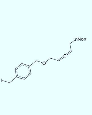 CCCCCCCCCCC=C=CCOCc1ccc(CI)cc1